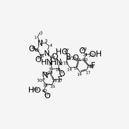 CCN1CCN(C(=O)NC(C(=O)N[C@H]2Cc3ccc(F)c(C(=O)O)c3OB2O)c2ncc(C(=O)O)cc2F)C(=O)C1=O